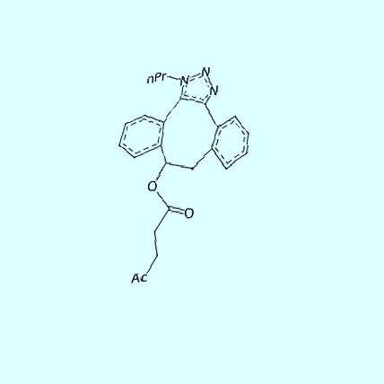 CCCn1nnc2c1-c1ccccc1C(OC(=O)CCC(C)=O)Cc1ccccc1-2